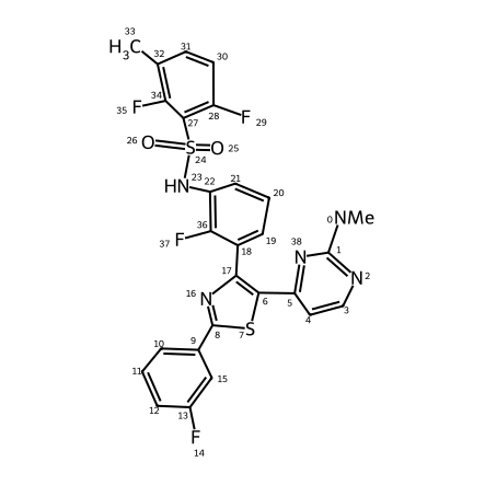 CNc1nccc(-c2sc(-c3cccc(F)c3)nc2-c2cccc(NS(=O)(=O)c3c(F)ccc(C)c3F)c2F)n1